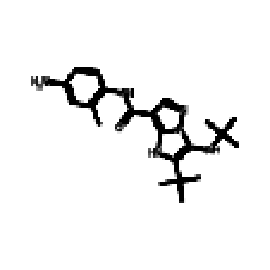 Cc1cc(N)ccc1NC(=O)c1cnn2c(NC(C)(C)C)c(C(C)(C)C)[nH]c12